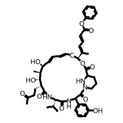 CC(=O)CC[C@H]1C(=O)N[C@@H](C(C)C)C(=O)NC(c2cccc(O)c2)C(=O)N2CCCC(N2)C(=O)O[C@H](/C(C)=C/C=C/C(=O)Oc2ccccc2)C/C=C/C=C/[C@H](O)[C@H](C)[C@H]1O